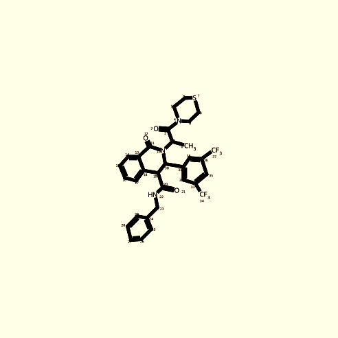 CC(C(=O)N1CCSCC1)N1C(=O)c2ccccc2C(C(=O)NCc2ccccc2)C1c1cc(C(F)(F)F)cc(C(F)(F)F)c1